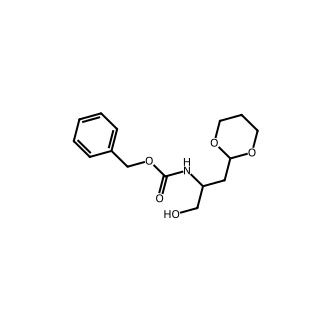 O=C(NC(CO)CC1OCCCO1)OCc1ccccc1